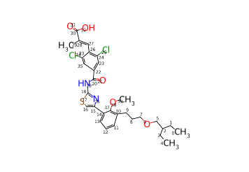 CCC(CC)COCCCc1cccc(-c2csc(NC(=O)c3cc(Cl)c(/C=C(\C)C(=O)O)c(Cl)c3)n2)c1OC